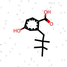 CC(C)(C)C(C)(C)Cc1cc(O)ccc1C(=O)O